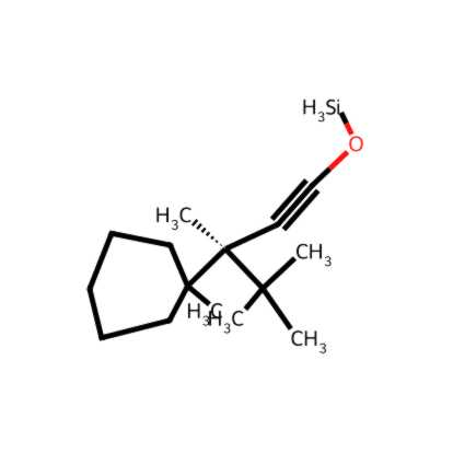 CC(C)(C)[C@](C)(C#CO[SiH3])C1(C)CCCCC1